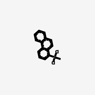 C[Si](Cl)(Cl)c1cccc2c1ccc1ccccc12